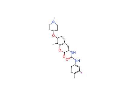 Cc1ccc(NC(=O)Nc2cc3ccc(OC4CCN(C)CC4)c(C)c3oc2=O)cc1I